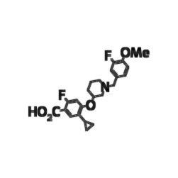 COc1ccc(CN2CCCC(Oc3cc(F)c(C(=O)O)cc3C3CC3)C2)cc1F